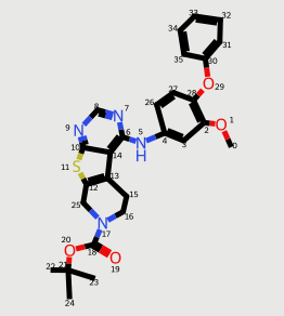 COc1cc(Nc2ncnc3sc4c(c23)CCN(C(=O)OC(C)(C)C)C4)ccc1Oc1ccccc1